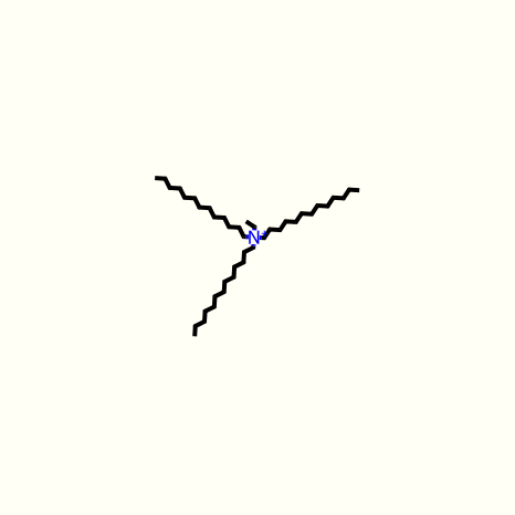 CCCCCCCCCCCCC[N+](CC)(CCCCCCCCCCCCC)CCCCCCCCCCCCC